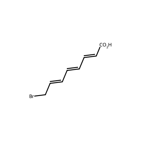 O=C(O)/C=C/C=C/C=C/CBr